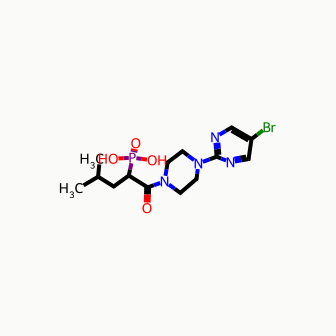 CC(C)CC(C(=O)N1CCN(c2ncc(Br)cn2)CC1)P(=O)(O)O